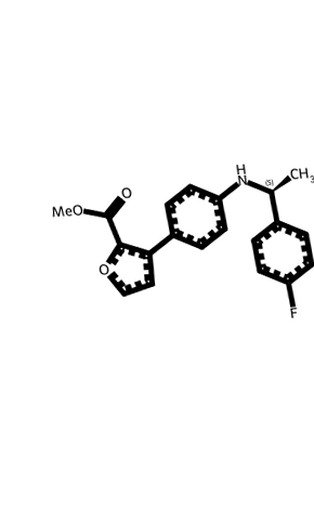 COC(=O)c1occc1-c1ccc(N[C@@H](C)c2ccc(F)cc2)cc1